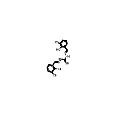 N=C(N/N=C/c1cccc(O)c1O)N/N=C/c1cccc(O)c1O